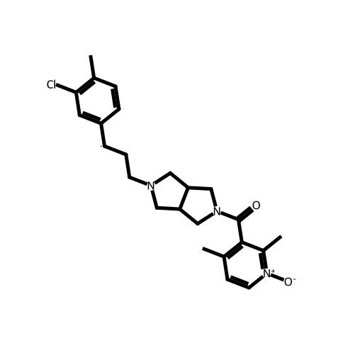 Cc1ccc([CH]CCN2CC3CN(C(=O)c4c(C)cc[n+]([O-])c4C)CC3C2)cc1Cl